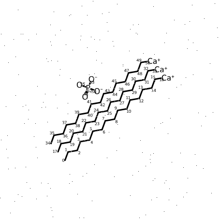 CCCCCCCCCCCCCCC[CH2][Ca+].CCCCCCCCCCCCCCC[CH2][Ca+].CCCCCCCCCCCCCCC[CH2][Ca+].O=P([O-])([O-])[O-]